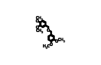 COc1ccc(COCc2ccc(OC)c(OC)c2)cc1OC